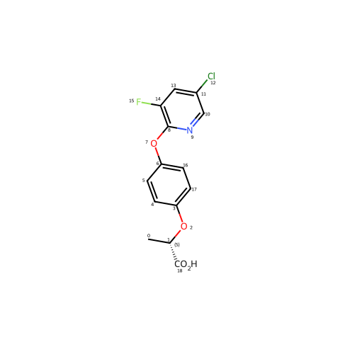 C[C@H](Oc1ccc(Oc2ncc(Cl)cc2F)cc1)C(=O)O